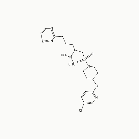 O=CN(O)C(CCCc1ncccn1)CS(=O)(=O)N1CCC(Oc2ccc(Cl)cn2)CC1